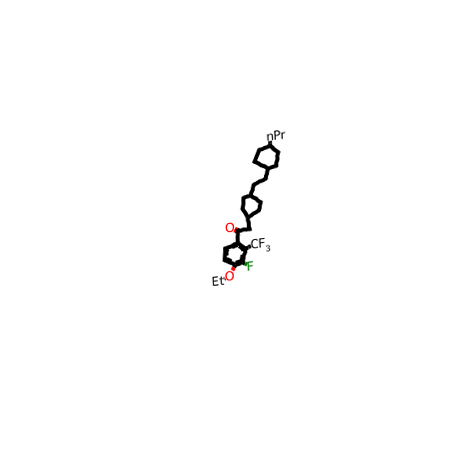 CCCC1CCC(CCC2CCC(CC(=O)c3ccc(OCC)c(F)c3C(F)(F)F)CC2)CC1